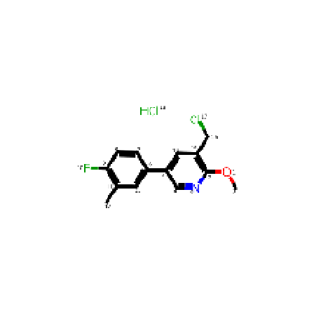 COc1ncc(-c2ccc(F)c(C)c2)cc1CCl.Cl